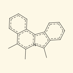 Cc1c(C)n2c(C)c3ccccc3c2c2ccccc12